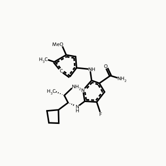 COc1cc(Nc2nc(N[C@H](C3CCC3)[C@H](C)N)c(F)cc2C(N)=O)ccc1C